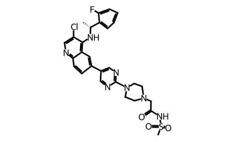 C[C@@H](Nc1c(Cl)cnc2ccc(-c3cnc(N4CCN(CC(=O)NS(C)(=O)=O)CC4)nc3)cc12)c1ccccc1F